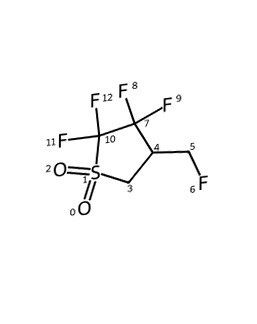 O=S1(=O)CC(CF)C(F)(F)C1(F)F